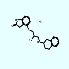 Cl.O=C1Cc2c(cccc2OCC(O)CNC2CCc3ccccc3C2)N1